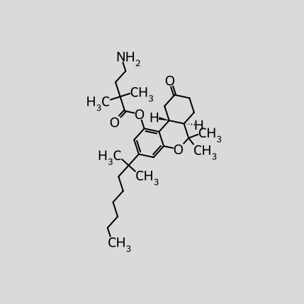 CCCCCCC(C)(C)c1cc(OC(=O)C(C)(C)CCN)c2c(c1)OC(C)(C)[C@@H]1CCC(=O)C[C@@H]21